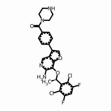 C[C@@H](Oc1c(N)ncc2c(-c3ccc(C(=O)N4CCNCC4)cc3)coc12)c1c(Cl)c(F)cc(F)c1Cl